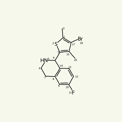 Cc1sc(C2NCCc3cc(F)ccc32)c(C)c1Br